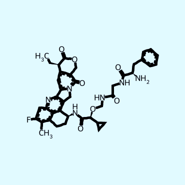 CC[C@H]1C(=O)OCc2c1cc1n(c2=O)Cc2c-1nc1cc(F)c(C)c3c1c2[C@@H](NC(=O)[C@@H](OCNC(=O)CNC(=O)[C@@H](N)Cc1ccccc1)C1CC1)CC3